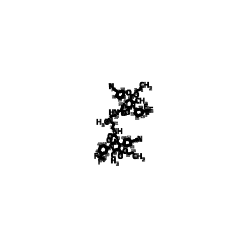 C=CCOC(=O)C1=C(C)N(c2cccc(C(F)(F)F)c2)C(=O)N(CC(=O)NCCN(C)CCNC(=O)CN2C(=O)N(c3cccc(C(F)(F)F)c3)C(C)=C(C(=O)OCC=C)[C@H]2c2ccc(C#N)cc2)[C@@H]1c1ccc(C#N)cc1